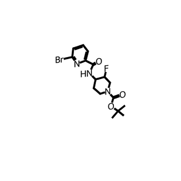 CC(C)(C)OC(=O)N1CCC(NC(=O)c2cccc(Br)n2)C(F)C1